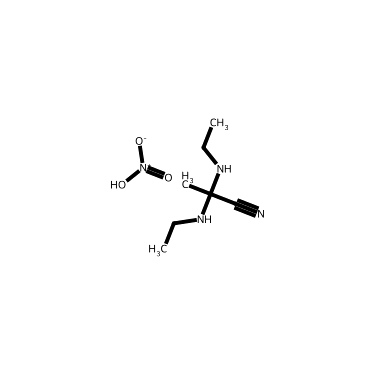 CCNC(C)(C#N)NCC.O=[N+]([O-])O